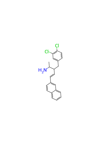 CC(N)C(C=Cc1ccc2ccccc2c1)Cc1ccc(Cl)c(Cl)c1